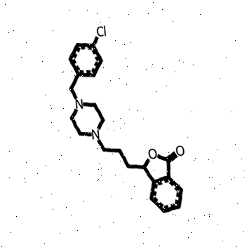 O=C1OC(CCCN2CCN(Cc3ccc(Cl)cc3)CC2)c2ccccc21